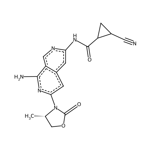 C[C@H]1COC(=O)N1c1cc2cc(NC(=O)C3CC3C#N)ncc2c(N)n1